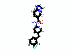 O=C(Nc1ccc(Cc2cccc(F)c2)cn1)c1ccc2nccn2c1